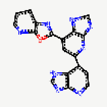 [c]1nc2nccc(-c3cc(-c4nc5cccnc5o4)c4[nH]cnc4n3)c2[nH]1